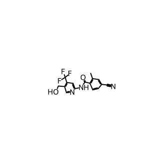 Cc1cc(C#N)ccc1C(=O)Nc1cc(C(F)(F)F)c(CO)cn1